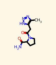 Cc1nn[nH]c1CC(=O)N1CCCC1C(N)=O